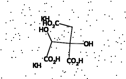 O=C(O)CC(O)(C(=O)O)C(O)C(=O)O.[KH].[KH]